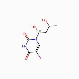 CC(O)C[C@@H](O)n1cc(I)c(=O)[nH]c1=O